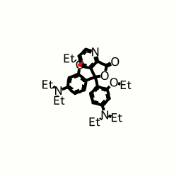 CCOc1cc(N(CC)CC)ccc1C1(c2ccc(N(CC)CC)cc2OCC)OC(=O)c2ncccc21